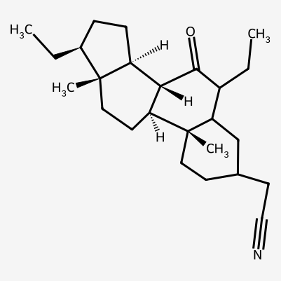 CCC1C(=O)[C@H]2[C@@H]3CC[C@H](CC)[C@@]3(C)CC[C@@H]2[C@@]2(C)CCC(CC#N)CC12